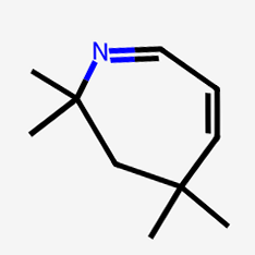 CC1(C)C=CC=NC(C)(C)C1